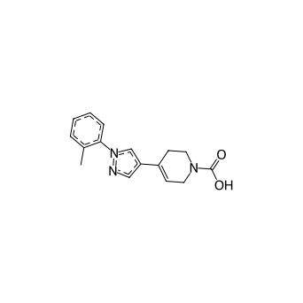 Cc1ccccc1-n1cc(C2=CCN(C(=O)O)CC2)cn1